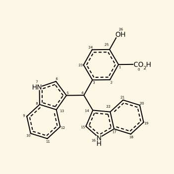 O=C(O)c1cc(C(c2c[nH]c3ccccc23)c2c[nH]c3ccccc23)ccc1O